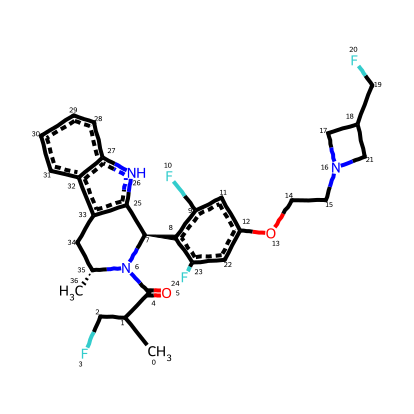 CC(CF)C(=O)N1[C@H](c2c(F)cc(OCCN3CC(CF)C3)cc2F)c2[nH]c3ccccc3c2C[C@H]1C